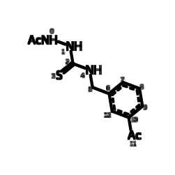 CC(=O)NNC(=S)NCc1cccc(C(C)=O)c1